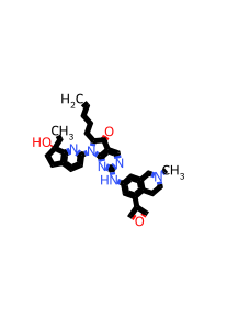 C=CCCCC1C(=O)c2cnc(Nc3cc4c(c(C5COC5)c3)CCN(C)C4)nc2N1c1ccc2c(n1)[C@](O)(CC)CC2